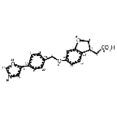 O=C(O)CC1COc2cc(OCc3ccc(-c4cnco4)cc3)ccc21